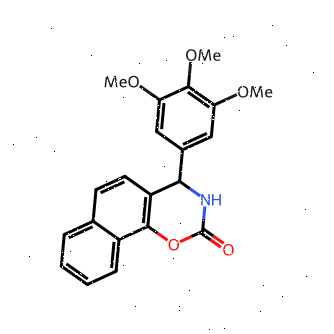 COc1cc(C2NC(=O)Oc3c2ccc2ccccc32)cc(OC)c1OC